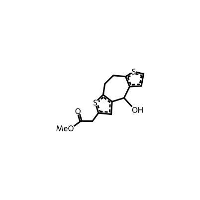 COC(=O)Cc1cc2c(s1)CCc1sccc1C2O